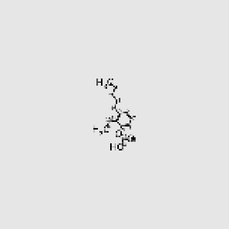 CCCCCc1cccc(OC(=O)O)c1CC